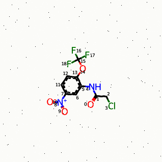 O=C(CCl)Nc1cc([N+](=O)[O-])ccc1OC(F)(F)F